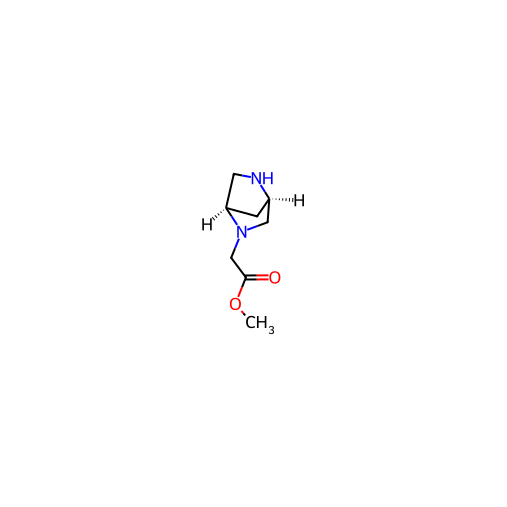 COC(=O)CN1C[C@H]2C[C@@H]1CN2